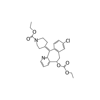 CCOC(=O)OC1Cc2cc(Cl)ccc2C(=C2CCN(C(=O)OCC)CC2)c2ncccc21